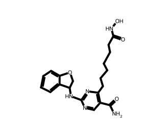 NC(=O)c1cnc(NC2COc3ccccc32)nc1CCCCCCC(=O)NO